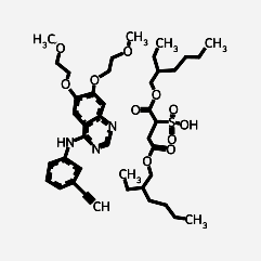 C#Cc1cccc(Nc2ncnc3cc(OCCOC)c(OCCOC)cc23)c1.CCCCC(CC)COC(=O)CC(C(=O)OCC(CC)CCCC)S(=O)(=O)O